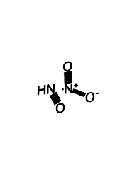 N=O.O=[N+][O-]